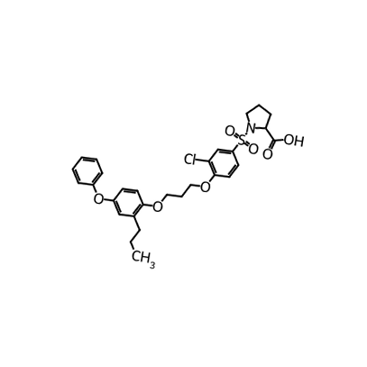 CCCc1cc(Oc2ccccc2)ccc1OCCCOc1ccc(S(=O)(=O)N2CCCC2C(=O)O)cc1Cl